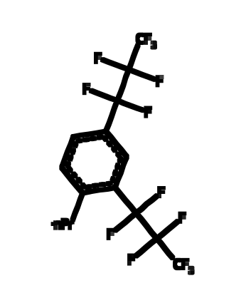 CC[CH]c1ccc(C(F)(F)C(F)(F)C(F)(F)F)cc1C(F)(F)C(F)(F)C(F)(F)F